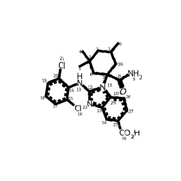 CC1CC(C)(C)CC(C(N)=O)(n2c(Nc3c(Cl)cccc3Cl)nc3cc(C(=O)O)ccc32)C1